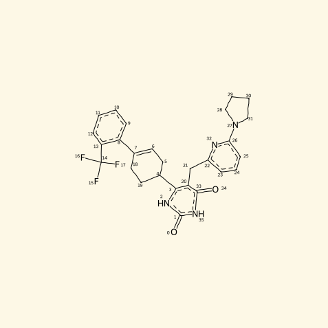 O=c1[nH]c(C2CC=C(c3ccccc3C(F)(F)F)CC2)c(Cc2cccc(N3CCCC3)n2)c(=O)[nH]1